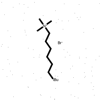 CCC(C)CCCCCC[N+](C)(C)C.[Br-]